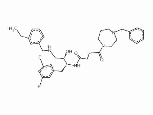 CCc1cccc(CNC[C@@H](O)[C@H](Cc2cc(F)cc(F)c2)NC(=O)CCC(=O)N2CCCN(Cc3ccccc3)CC2)c1